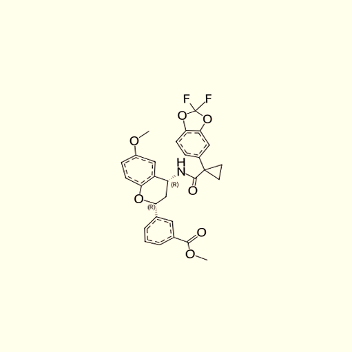 COC(=O)c1cccc([C@H]2C[C@@H](NC(=O)C3(c4ccc5c(c4)OC(F)(F)O5)CC3)c3cc(OC)ccc3O2)c1